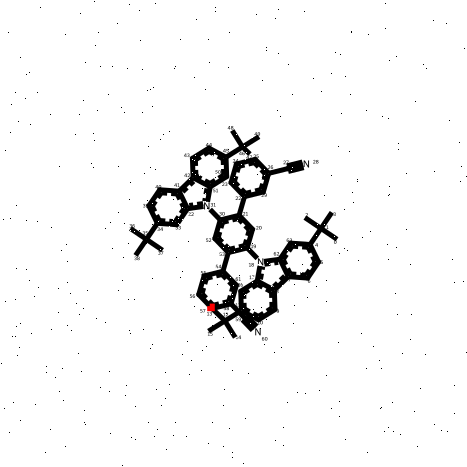 CC(C)(C)c1ccc2c3ccc(C(C)(C)C)cc3n(-c3cc(-c4cccc(C#N)c4)c(-n4c5cc(C(C)(C)C)ccc5c5ccc(C(C)(C)C)cc54)cc3-c3cccc(C#N)c3)c2c1